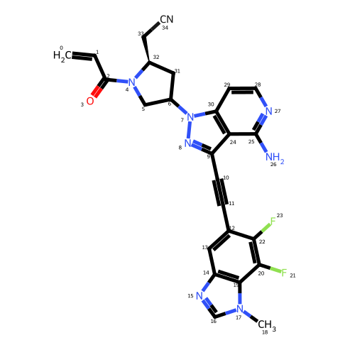 C=CC(=O)N1CC(n2nc(C#Cc3cc4ncn(C)c4c(F)c3F)c3c(N)nccc32)C[C@@H]1CC#N